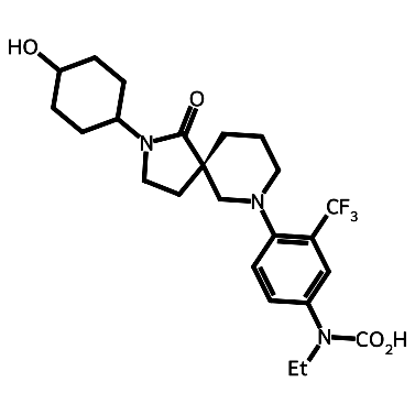 CCN(C(=O)O)c1ccc(N2CCC[C@]3(CCN(C4CCC(O)CC4)C3=O)C2)c(C(F)(F)F)c1